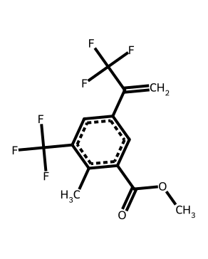 C=C(c1cc(C(=O)OC)c(C)c(C(F)(F)F)c1)C(F)(F)F